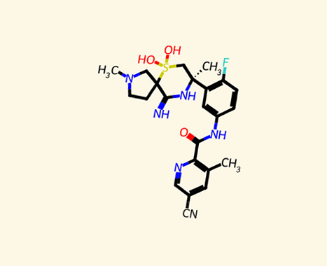 Cc1cc(C#N)cnc1C(=O)Nc1ccc(F)c([C@]2(C)CS(O)(O)C3(CCN(C)C3)C(=N)N2)c1